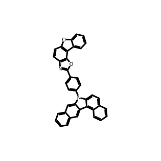 c1ccc2cc3c(cc2c1)c1c2ccccc2ccc1n3-c1ccc(-c2nc3ccc4oc5ccccc5c4c3o2)cc1